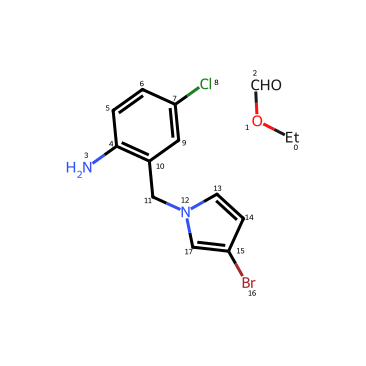 CCOC=O.Nc1ccc(Cl)cc1Cn1ccc(Br)c1